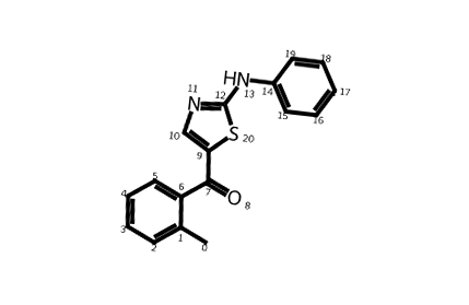 Cc1ccccc1C(=O)c1cnc(Nc2cc[c]cc2)s1